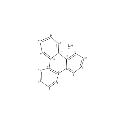 [LiH].[c]1cccc2c1c1ccccc1c1ccccc21